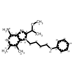 COC(C)c1nc2c(N)nc(C)c(C)c2n1CCCCSc1ccccc1